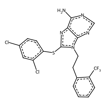 Nc1ncnc2c1nc(Sc1ccc(Cl)cc1Cl)n2CCc1ccccc1C(F)(F)F